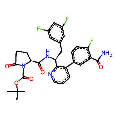 CC(C)(C)OC(=O)N1C(=O)CC[C@H]1C(=O)N[C@@H](Cc1cc(F)cc(F)c1)c1ncccc1-c1ccc(F)c(C(N)=O)c1